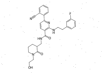 N#Cc1ccccc1-c1ccc(C(=O)NCC2CCCN(CCO)C2=O)c(NCCc2cccc(F)c2)n1